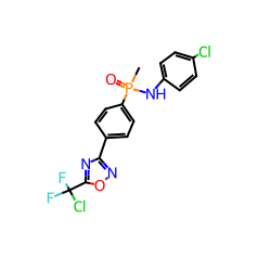 CP(=O)(Nc1ccc(Cl)cc1)c1ccc(-c2noc(C(F)(F)Cl)n2)cc1